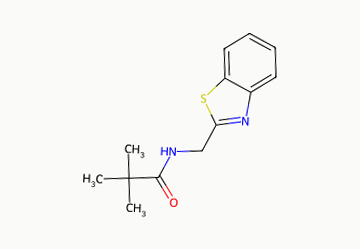 CC(C)(C)C(=O)NCc1nc2ccccc2s1